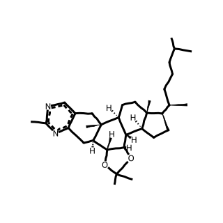 Cc1ncc2c(n1)C[C@@H]1[C@H]3OC(C)(C)O[C@@H]3[C@@H]3[C@H](CC[C@]4(C)[C@@H]([C@H](C)CCCC(C)C)CC[C@@H]34)[C@@]1(C)C2